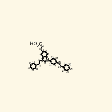 O=C(O)CCc1ccc2c(c1)c(C=Cc1ccccc1)cn2-c1ccc(OCc2ccccc2)cc1